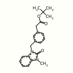 Cn1c(=O)n(Cc2cccc(CC(=O)OC(C)(C)C)c2)c2ccccc21